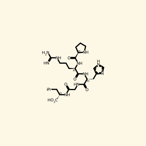 CC(C)C[C@H](NC(=O)CNC(=O)[C@@H](Cc1c[nH]cn1)NC(=O)[C@@H](CCCNC(=N)N)NC(=O)[C@H]1CCCN1)C(=O)O